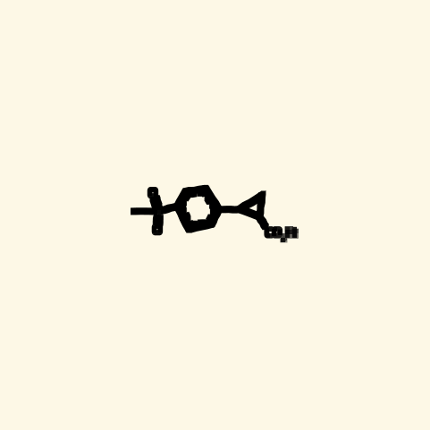 CCOC(=O)C1CC1c1ccc(S(C)(=O)=O)cc1